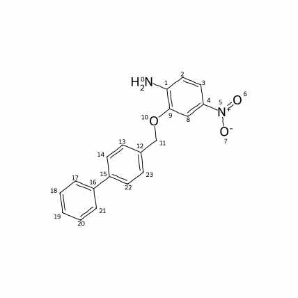 Nc1ccc([N+](=O)[O-])cc1OCc1ccc(-c2ccccc2)cc1